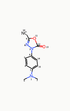 CN(C)c1ccc(-n2nc(C#N)oc2=O)cc1